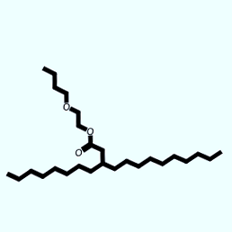 CCCCCCCCCCC(CCCCCCCC)CC(=O)OCCOCCCC